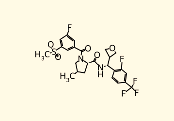 C[C@@H]1C[C@H](C(=O)N[C@@H](c2ccc(C(F)(F)F)cc2F)C2COC2)N(C(=O)c2cc(F)cc(S(C)(=O)=O)c2)C1